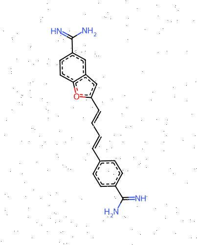 N=C(N)c1ccc(/C=C/C=C/c2cc3cc(C(=N)N)ccc3o2)cc1